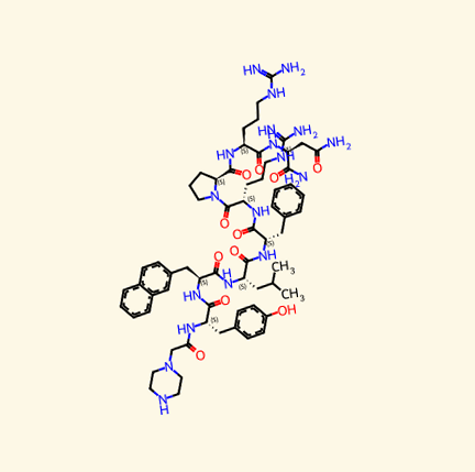 CC(C)C[C@H](NC(=O)[C@H](Cc1ccc2ccccc2c1)NC(=O)[C@H](Cc1ccc(O)cc1)NC(=O)CN1CCNCC1)C(=O)N[C@@H](Cc1ccccc1)C(=O)N[C@@H](CCCNC(=N)N)C(=O)N1CCC[C@H]1C(=O)N[C@@H](CCCNC(=N)N)C(=O)N[C@@H](CC(N)=O)C(N)=O